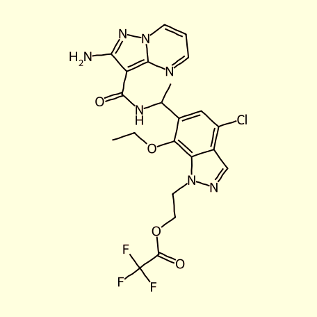 CCOc1c(C(C)NC(=O)c2c(N)nn3cccnc23)cc(Cl)c2cnn(CCOC(=O)C(F)(F)F)c12